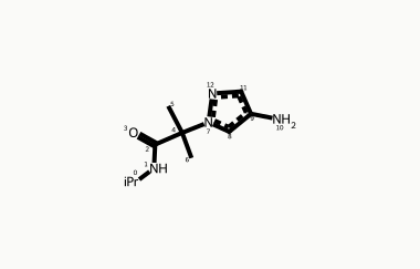 CC(C)NC(=O)C(C)(C)n1cc(N)cn1